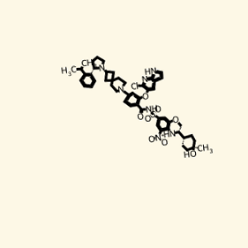 CC(C)c1ccccc1[C@@H]1CCCN1C1CC2(CCN(c3ccc(C(=O)NS(=O)(=O)c4cc5c(c([N+](=O)[O-])c4)N[C@@H]([C@H]4CC[C@](C)(O)CC4)CO5)c(Oc4cc5cc[nH]c5nc4Cl)c3)CC2)C1